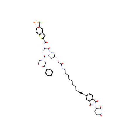 CC(C)(C)C(NC(=O)c1cc2cc(C(F)(F)P(=O)(O)O)ccc2s1)C(=O)N1C[C@@H](OCC(=O)NCCCCCCCCC#Cc2ccc3c(c2)C(=O)N(C2CCC(=O)NC2=O)C3=O)C[C@H]1C(=O)N1CCO[C@H](c2ccccc2)C1